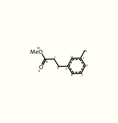 [CH2]c1cccc([CH]CC(=O)OC)c1